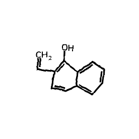 C=Cc1ccc2ccccc2c1O